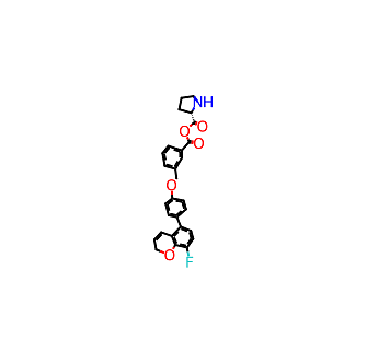 O=C(OC(=O)[C@@H]1CCCN1)c1cccc(COc2ccc(-c3ccc(F)c4c3C=CCO4)cc2)c1